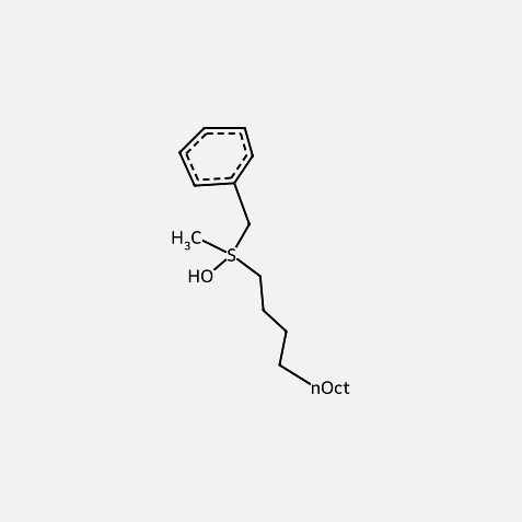 CCCCCCCCCCCCS(C)(O)Cc1ccccc1